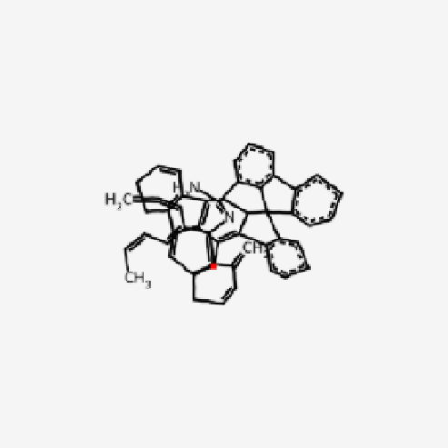 C=C=CC(=C\C=C/C)/C(/N=C(\N)c1cccc2c1C1(c3ccccc3C3=C4CCC=C5C6=C(C=CCC6)C(=C54)CC31)c1ccccc1-2)=C1\CCC=CC1=C